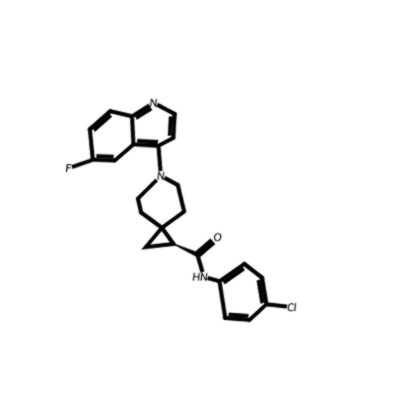 O=C(Nc1ccc(Cl)cc1)[C@H]1CC12CCN(c1ccnc3ccc(F)cc13)CC2